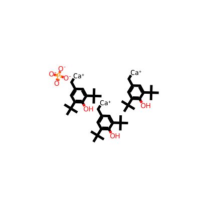 CC(C)(C)c1cc([CH2][Ca+])cc(C(C)(C)C)c1O.CC(C)(C)c1cc([CH2][Ca+])cc(C(C)(C)C)c1O.CC(C)(C)c1cc([CH2][Ca+])cc(C(C)(C)C)c1O.O=P([O-])([O-])[O-]